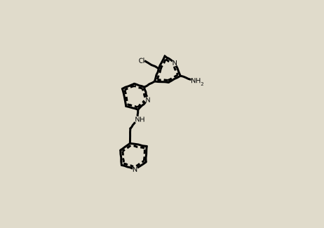 Nc1cc(-c2cccc(NCc3ccncc3)n2)c(Cl)cn1